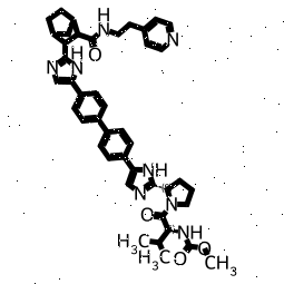 COC(=O)N[C@H](C(=O)N1CCC[C@H]1c1ncc(-c2ccc(-c3ccc(-c4cnc(C5C6CCC(C6)C5C(=O)NCCc5ccncc5)[nH]4)cc3)cc2)[nH]1)C(C)C